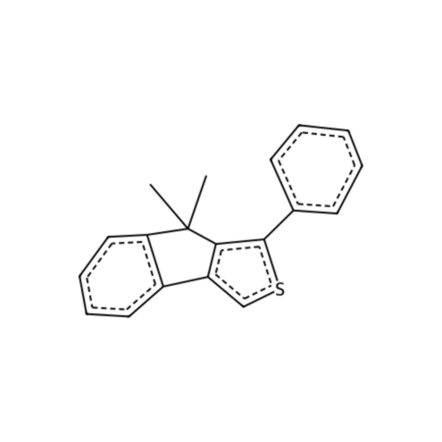 CC1(C)c2ccccc2-c2csc(-c3ccccc3)c21